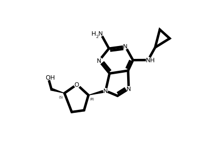 Nc1nc(NC2CC2)c2ncn([C@H]3CC[C@@H](CO)O3)c2n1